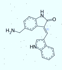 NCc1ccc2c(c1)/C(=C\c1c[nH]c3ccccc13)C(=O)N2